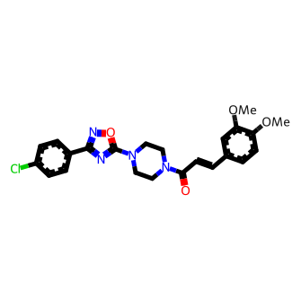 COc1ccc(C=CC(=O)N2CCN(c3nc(-c4ccc(Cl)cc4)no3)CC2)cc1OC